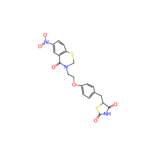 O=C1NC(=O)C(Cc2ccc(OCCN3CSc4ccc([N+](=O)[O-])cc4C3=O)cc2)S1